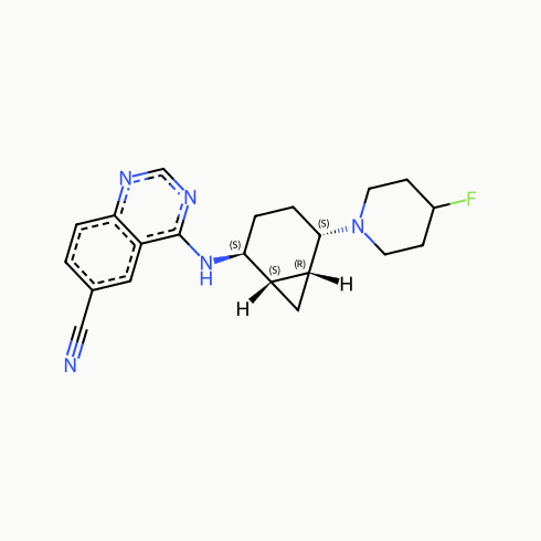 N#Cc1ccc2ncnc(N[C@H]3CC[C@H](N4CCC(F)CC4)[C@@H]4C[C@@H]43)c2c1